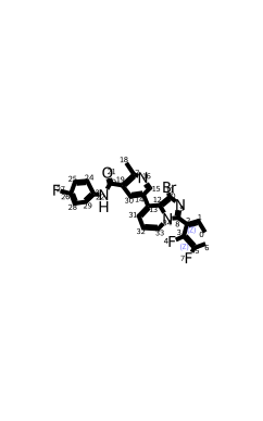 C/C=C(\C(F)=C(/C)F)c1nc(Br)c2c(-c3cnc(C)c(C(=O)Nc4ccc(F)cc4)c3)cccn12